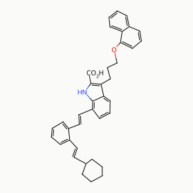 O=C(O)c1[nH]c2c(C=Cc3ccccc3C=CC3CCCCC3)cccc2c1CCCOc1cccc2ccccc12